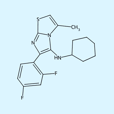 Cc1csc2nc(-c3ccc(F)cc3F)c(NC3CCCCC3)n12